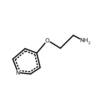 NCCOc1ccncc1